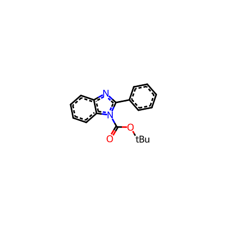 CC(C)(C)OC(=O)n1c(-c2ccccc2)nc2ccccc21